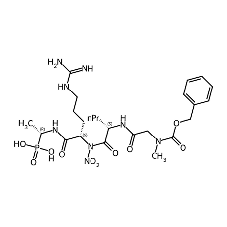 CCC[C@H](NC(=O)CN(C)C(=O)OCc1ccccc1)C(=O)N([C@@H](CCCNC(=N)N)C(=O)N[C@@H](C)P(=O)(O)O)[N+](=O)[O-]